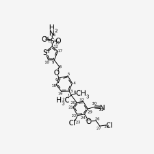 CC(C)(c1ccc(OCc2csc(S(N)(=O)=O)c2)cc1)c1cc(Cl)c(OCCCl)c(C#N)c1